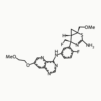 COCCOc1cnc2c(Nc3ccc(F)c([C@@]4(CF)N=C(N)S[C@@]5(COC)C[C@H]54)c3)ncnc2c1